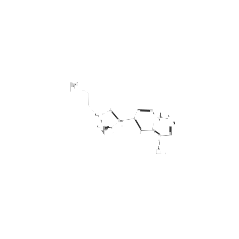 CC(=O)c1cnn2ccc(-c3cnn(CCO)c3)cc12